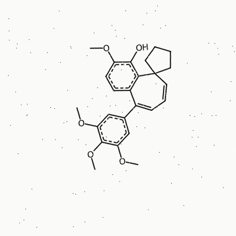 COc1ccc2c(c1O)C1(C=CC=C2c2cc(OC)c(OC)c(OC)c2)CCCC1